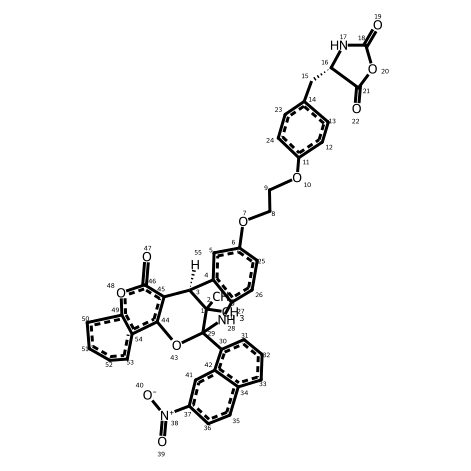 CC1(C)[C@@H]2c3cc(OCCOc4ccc(C[C@@H]5NC(=O)OC5=O)cc4)ccc3NC1(c1cccc3ccc([N+](=O)[O-])cc13)Oc1c2c(=O)oc2ccccc12